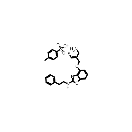 Cc1ccc(S(=O)(=O)O)cc1.NCC(=CF)COc1cccc2oc(NCCc3ccccc3)nc12